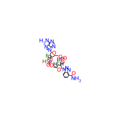 NC(=O)c1cccc2c1nnn2[C@@H]1O/C2=C/O[P@](=O)(S)O[C@@H]3C(CO[PH](=O)O[C@@H]1[C@@H]2F)O[C@@H](n1cnc2c(N)ncnc21)[C@@H]3F